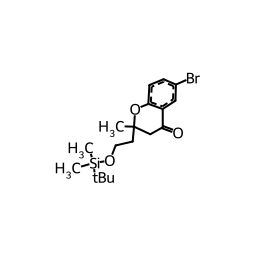 CC1(CCO[Si](C)(C)C(C)(C)C)CC(=O)c2cc(Br)ccc2O1